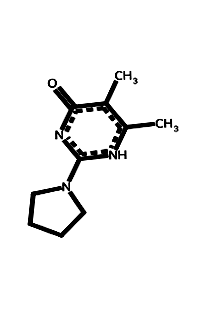 Cc1[nH]c(N2CCCC2)nc(=O)c1C